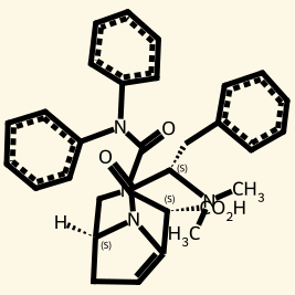 CN(C)[C@@H](Cc1ccccc1)C(=O)N1C2=CC[C@H]1CN(C(=O)N(c1ccccc1)c1ccccc1)[C@@H]2C(=O)O